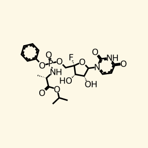 CC(C)OC(=O)[C@H](C)N[P@@](=O)(OC[C@@]1(F)OC(n2ccc(=O)[nH]c2=O)[C@H](O)[C@@H]1O)Oc1ccccc1